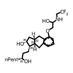 CCCCC[C@H](O)CC[C@@H]1[C@H]2Cc3cccc(OCC(O)NCC(F)(F)F)c3C[C@H]2C[C@H]1O